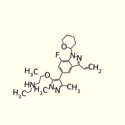 C=Cc1nn(C2CCCCO2)c2c(F)cc(-c3c(C)nn(C)c3O[C@@H](C)CNCC)cc12